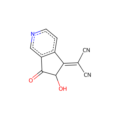 N#CC(C#N)=C1c2ccncc2C(=O)C1O